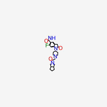 CNC(=O)c1cc2c(cc1F)N(C1CCN(CC(=O)N3CC4CCCC4C3)CC1)C(=O)C2